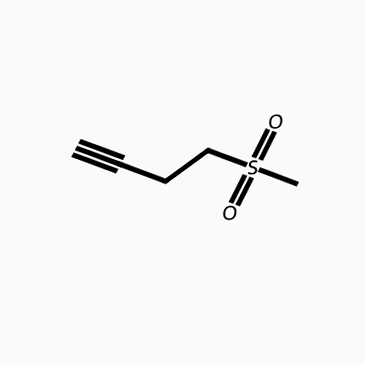 C#CCCS(C)(=O)=O